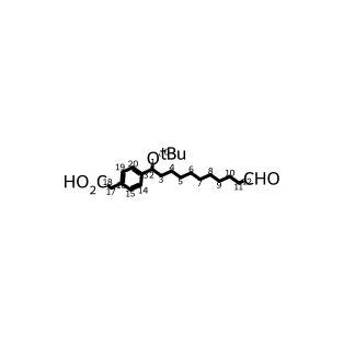 CC(C)(C)OC(CCCCCCCCCC=O)c1ccc(CC(=O)O)cc1